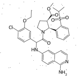 CCOc1cc(C(Nc2ccc3c(N)nccc3c2)C(=O)N2CC[C@@H](C(=O)OC)[C@H]2c2ccccc2S(=O)(=O)C(C)C)ccc1Cl